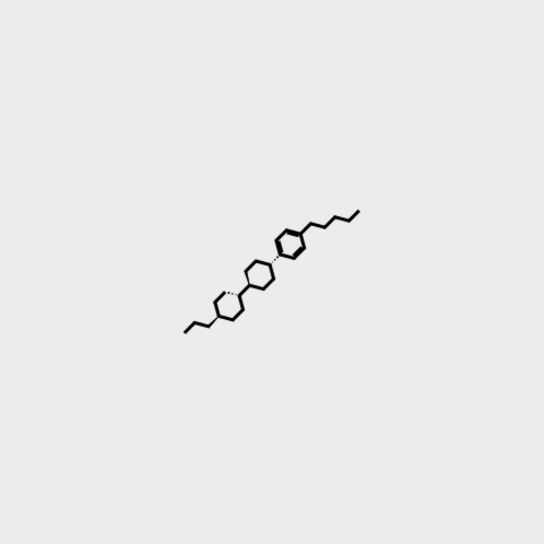 CCCCCc1ccc([C@H]2CC[C@H]([C@H]3CC[C@H](CCC)CC3)CC2)cc1